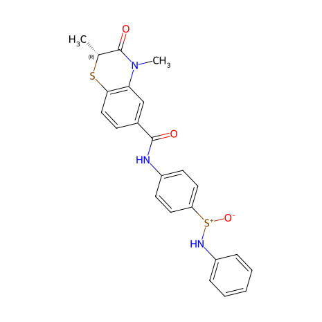 C[C@H]1Sc2ccc(C(=O)Nc3ccc([S+]([O-])Nc4ccccc4)cc3)cc2N(C)C1=O